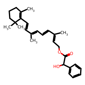 CC(C=CC1=C(C)CCCC1(C)C)=CC=CC(C)=CCOC(=O)C(O)c1ccccc1